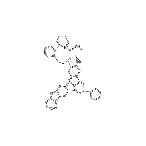 C=C1[n+]2ccccc2-c2ccccc2CCC2c3cc4c(cc3-c3cccc5[n+]3C12C5)c1cc(-c2ccccc2)cc2c3cc5c(cc3n4c12)oc1ccccc15